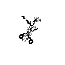 CCCC[C@@H](NC(=O)[C@@H](Cc1ccccc1)NC(=O)[C@H](N)Cc1ccccc1)C(=O)N[C@H](CNC(=N)N)C(=O)CCCCOCCC